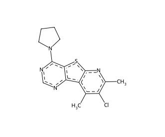 Cc1nc2sc3c(N4CCCC4)ncnc3c2c(C)c1Cl